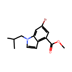 COC(=O)c1cc(Br)cc2c1ccn2CC(C)C